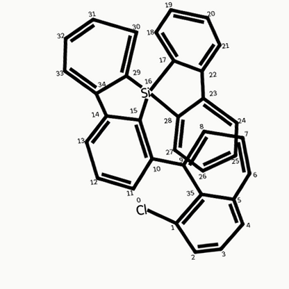 Clc1cccc2cccc(-c3cccc4c3[Si]3(c5ccccc5-c5ccccc53)c3ccccc3-4)c12